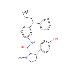 CCOC(=O)CCC(c1ccccc1)c1cccc(NC(=O)[C@@H]2C(c3ccc(O)cc3)CCN2C(C)=O)c1